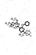 C=CC(NC(=O)c1cnc(C(C)(C)C)nc1Oc1ccccc1)C1CC(P)(P)C1